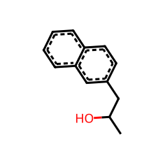 CC(O)Cc1ccc2ccccc2c1